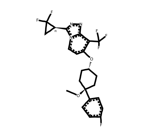 CO[C@]1(c2ccc(F)cc2)CC[C@@H](Oc2ccn3c([C@H]4CC4(F)F)nnc3c2C(F)(F)F)CC1